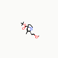 COCC[C@H]1C(C)CC2(C(=O)OC(C)(C)C)CCCN12